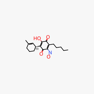 CCCCCC1=C(N=O)C(=O)C([C@@H]2C=C(C)CCC2)=C(O)C1=O